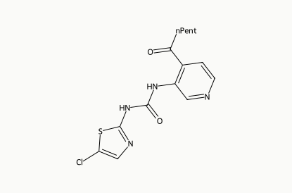 CCCCCC(=O)c1ccncc1NC(=O)Nc1ncc(Cl)s1